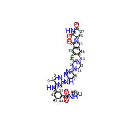 Cc1cnc(Nc2ccc(N3CCN(Cc4cc5c(cc4F)C(=O)N(C4CCC(=O)NC4=O)C5)CC3)nn2)nc1Nc1cccc(S(=O)(=O)NC(C)(C)C)c1